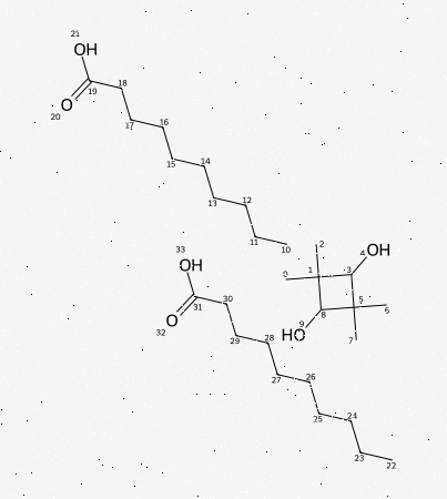 CC1(C)C(O)C(C)(C)C1O.CCCCCCCCCC(=O)O.CCCCCCCCCC(=O)O